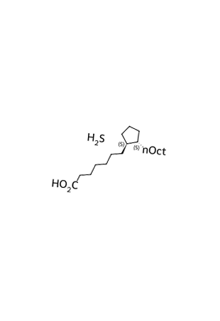 CCCCCCCC[C@H]1CCC[C@@H]1CCCCCCC(=O)O.S